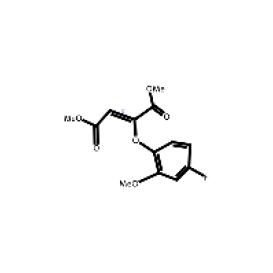 COC(=O)/C=C(\Oc1ccc(F)cc1OC)C(=O)OC